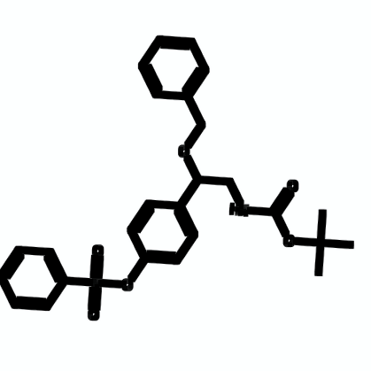 CC(C)(C)OC(=O)NCC(OCc1ccccc1)c1ccc(OS(=O)(=O)c2ccccc2)cc1